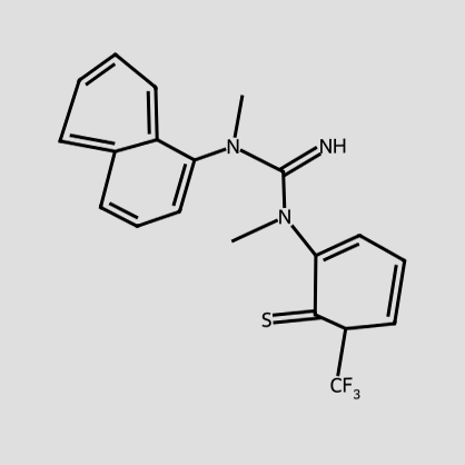 CN(C(=N)N(C)c1cccc2ccccc12)C1=CC=CC(C(F)(F)F)C1=S